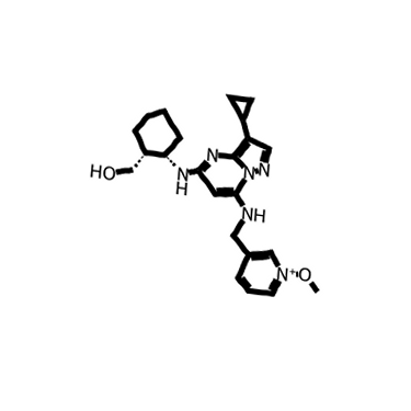 CO[n+]1cccc(CNc2cc(N[C@H]3CCCC[C@H]3CO)nc3c(C4CC4)cnn23)c1